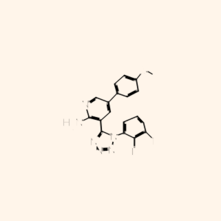 CSc1ccc(-c2cnc(N)c(-c3nnnn3-c3cccc(F)c3F)c2)cc1